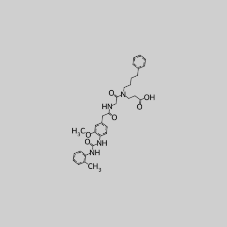 COc1cc(CC(=O)NCC(=O)N(CCCCc2ccccc2)CCC(=O)O)ccc1NC(=O)Nc1ccccc1C